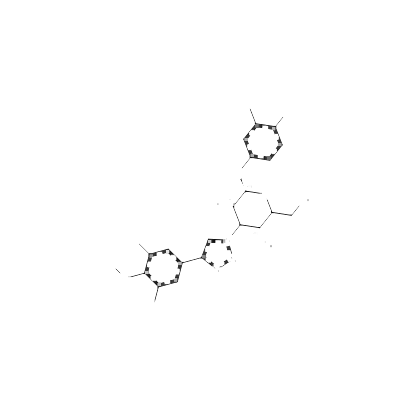 COc1c(F)cc(-c2cn(C3[C@@H](O)C(CO)O[C@H](Sc4ccc(Cl)c(Cl)c4)[C@H]3O)nn2)cc1F